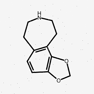 c1cc2c(c3c1CCNCC3)OCO2